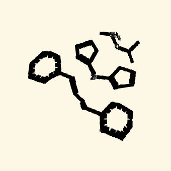 C(C=Cc1ccccc1)=Cc1ccccc1.C1=CC[C]([Zr][C]2=CC=CC2)=C1.C[SiH2]OC(C)C